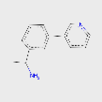 CC(N)c1cccc(-c2cccnc2)c1